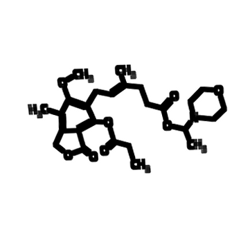 CCC(=O)Oc1c(C/C=C(\C)CCC(=O)OC(C)N2CCOCC2)c(OC)c(C)c2c1C(=O)OC2